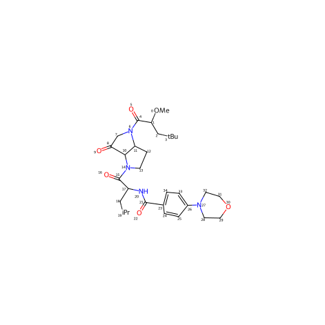 COC(CC(C)(C)C)C(=O)N1CC(=O)C2C1CCN2C(=O)C(CC(C)C)NC(=O)c1ccc(N2CCOCC2)cc1